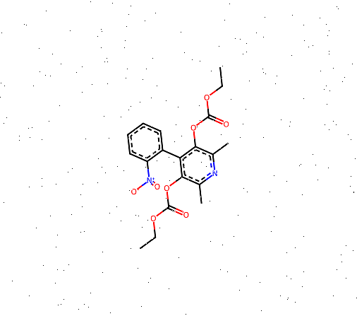 CCOC(=O)Oc1c(C)nc(C)c(OC(=O)OCC)c1-c1ccccc1[N+](=O)[O-]